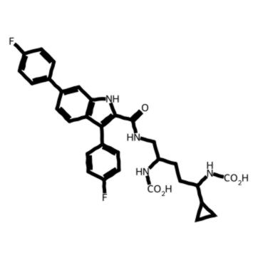 O=C(O)NC(CCC(NC(=O)O)C1CC1)CNC(=O)c1[nH]c2cc(-c3ccc(F)cc3)ccc2c1-c1ccc(F)cc1